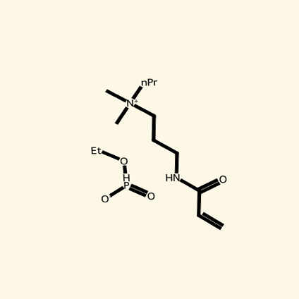 C=CC(=O)NCCC[N+](C)(C)CCC.CCO[PH](=O)[O-]